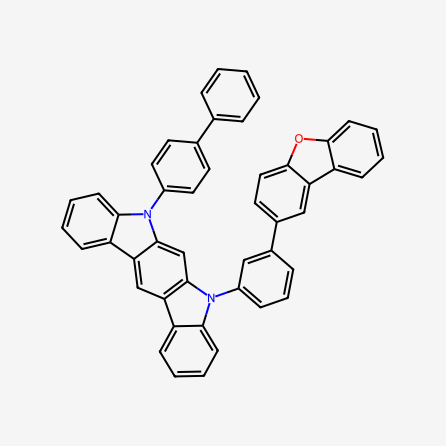 c1ccc(-c2ccc(-n3c4ccccc4c4cc5c6ccccc6n(-c6cccc(-c7ccc8oc9ccccc9c8c7)c6)c5cc43)cc2)cc1